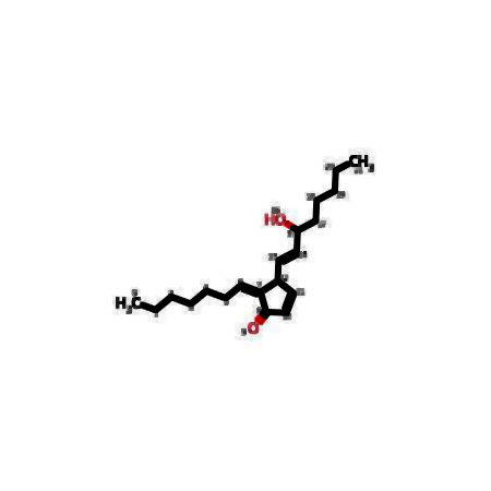 CCCCCCC=C1C(=O)C=CC1C=CC(O)CCCCC